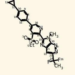 CCS(=O)(=O)c1cc(-c2ccc(C3CC3)cc2)cnc1-c1nc2cc(C(C)(F)F)nnc2n1C